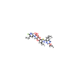 COc1cnc2c(-c3nc4c(C)cc5c(c4s3)OCC(CN(C(=O)O)c3cnc(F)c(C)c3)O5)cc(C)cc2n1